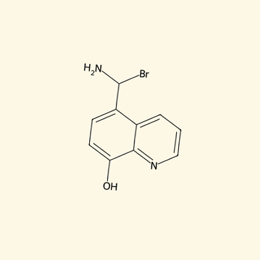 NC(Br)c1ccc(O)c2ncccc12